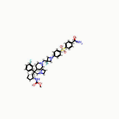 COC(=O)N[C@H]1CCC[C@@H]1[C@](CN1CCC1)(c1cccc(F)c1)C1CCN(CC2(F)CN(c3ccc(S(=O)(=O)c4ccc(C(N)=O)cc4)cc3)C2)CC1